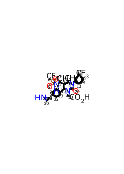 C=C(NS(=O)(=O)CC(F)(F)F)C1=C(C)N(c2cccc(C(F)(F)F)c2)C(=O)N(CC(=O)O)C1c1ccc([C@H]2CN2)cc1